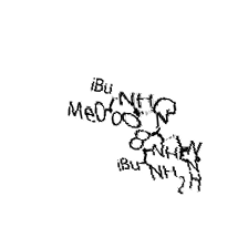 CC[C@H](C)[C@H](N)C(=O)N[C@@H](Cc1c[nH]cn1)C(=O)N1CCC[C@H]1C(=O)N[C@H](C(=O)OC)[C@@H](C)CC